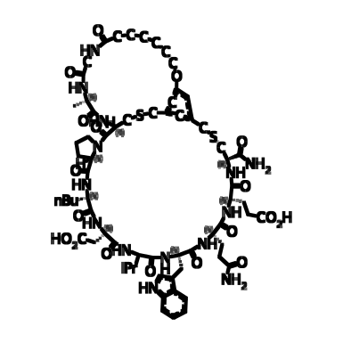 CCCC[C@@H]1NC(=O)[C@@H]2CCCN2C(=O)[C@@H]2CSCc3cc(cc(c3)OCCCCCCC(=O)NCC(=O)N[C@@H](C)C(=O)N2)CSC[C@@H](C(N)=O)NC(=O)[C@H](CCC(=O)O)NC(=O)[C@H](CCC(N)=O)NC(=O)[C@H](Cc2c[nH]c3ccccc23)NC(=O)C(C(C)C)NC(=O)[C@H](CC(=O)O)NC1=O